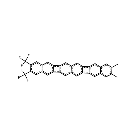 Cc1cc2cc3c(cc2cc1C)c1cc2cc4c5cc6cc(C(F)(F)F)c(C(F)(F)F)cc6cc5c4cc2cc31